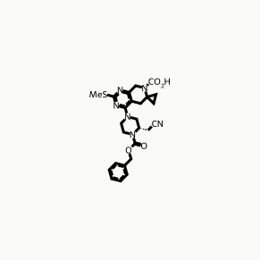 CSc1nc2c(c(N3CCN(C(=O)OCc4ccccc4)[C@@H](CC#N)C3)n1)CC1(CC1)N(C(=O)O)C2